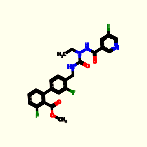 CCN(NC(=O)c1cncc(F)c1)C(=O)NCc1ccc(-c2cccc(F)c2C(=O)OC)cc1F